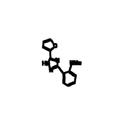 CNc1ccccc1-c1n[nH]c(-c2ccco2)n1